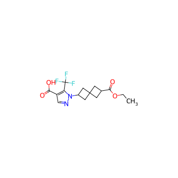 CCOC(=O)C1CC2(C1)CC(n1ncc(C(=O)O)c1C(F)(F)F)C2